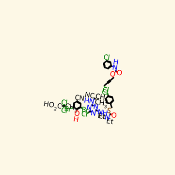 CC(Cl)(Cl)C(=O)O.CCN(CC)C(=O)SCc1ccc(Cl)cc1.CCNc1nc(Cl)nc(NC(C)(C)C#N)n1.N#Cc1cc(Br)c(O)c(Br)c1.O=C(Nc1cccc(Cl)c1)OCC#CCCl